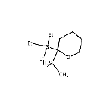 CC[Si](CC)(CC)C1([SiH2]C)CCCCO1